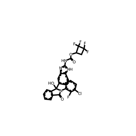 O=C(Nc1nc2cc(C3(O)c4ccccc4C(=O)N3c3cccc(Cl)c3F)ccc2[nH]1)OC1CC(F)(F)C1(F)F